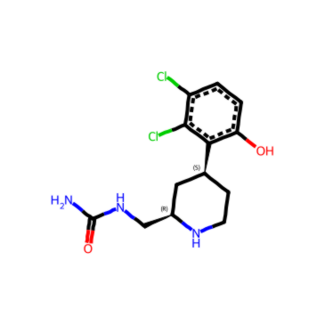 NC(=O)NC[C@H]1C[C@@H](c2c(O)ccc(Cl)c2Cl)CCN1